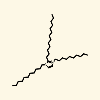 CCCCCCCCCCCCCc1n(CCCCCCCCCCC)cc[n+]1CCCCCCCCCC